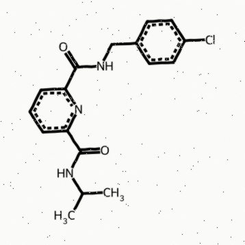 CC(C)NC(=O)c1cccc(C(=O)NCc2ccc(Cl)cc2)n1